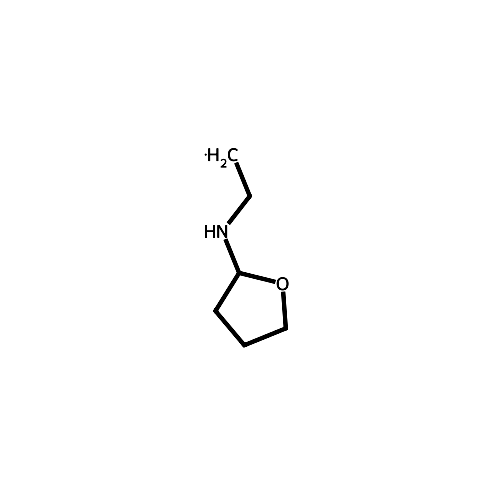 [CH2]CNC1CCCO1